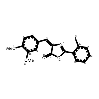 COc1ccc(C=C2N=C(c3ccccc3I)OC2=O)cc1OC